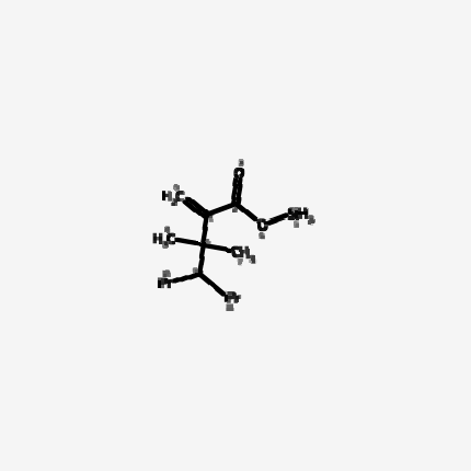 C=C(C(=O)O[SiH3])C(C)(C)C(C(C)C)C(C)C